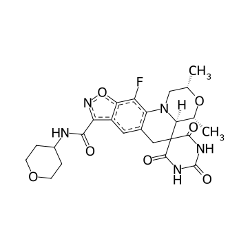 C[C@H]1CN2c3c(cc4c(C(=O)NC5CCOCC5)noc4c3F)CC3(C(=O)NC(=O)NC3=O)[C@@H]2[C@@H](C)O1